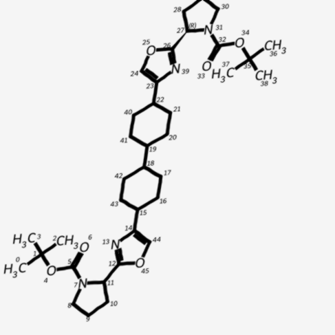 CC(C)(C)OC(=O)N1CCCC1c1nc(C2CCC(C3CCC(c4coc([C@H]5CCCN5C(=O)OC(C)(C)C)n4)CC3)CC2)co1